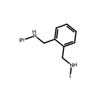 CC(C)NCc1ccccc1CNI